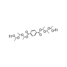 CCOC(C)OC(C)OC(C)OC(=O)c1ccc(C(=O)OC(C)OC(C)OC(C)OCC)cc1